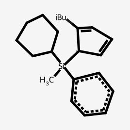 CCC(C)C1=CC=C[C]1[Si](C)(c1ccccc1)C1CCCCC1